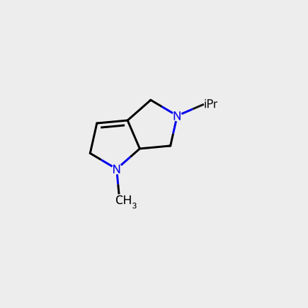 CC(C)N1CC2=CCN(C)C2C1